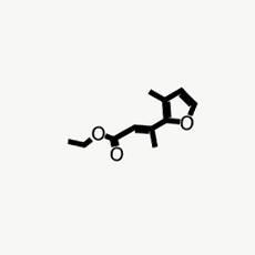 CCOC(=O)C=C(C)c1occc1C